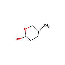 CC1CCC(O)OC1